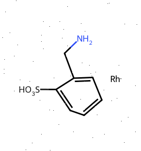 NCc1ccccc1S(=O)(=O)O.[Rh]